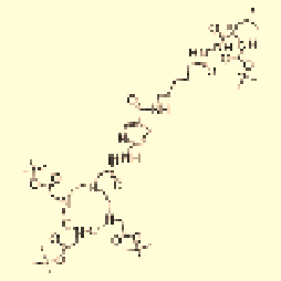 CC(C)C[C@@H](NC(=O)OC(C)(C)C)C(=O)NNC(=O)CCCCCNC(=O)c1ccc(NNC(=O)CN2CCN(CC(=O)OC(C)(C)C)CCN(CC(=O)OC(C)(C)C)CCN(CC(=O)OC(C)(C)C)CC2)nc1